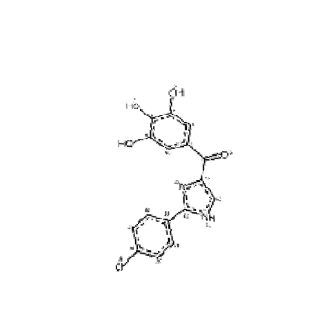 O=C(c1cc(O)c(O)c(O)c1)c1c[nH]c(-c2ccc(Cl)cc2)n1